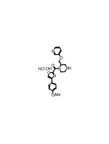 COc1ccc(-c2coc(C(=O)N3CCNCC3COc3cccnc3)n2)cc1.Cl.Cl